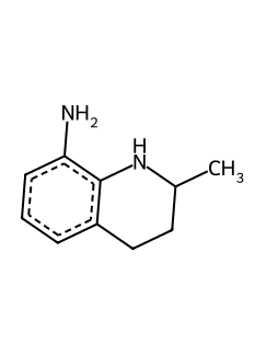 CC1CCc2cccc(N)c2N1